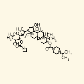 COC(C[C@@H](C)[C@H]1C[C@H](O)[C@@]2(C)C3CC[C@H]4C(C)(C)[C@@H](OC(=O)N5CCN(C(C)C)CC5)CC[C@@]45CC35CC[C@]12C)[C@H](OC(=O)N1CCC1)C(C)C